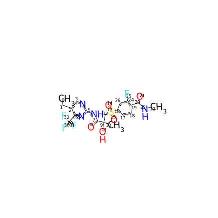 CCc1cnc(NC(=O)[C@@](C)(O)CS(=O)(=O)c2ccc(C(=O)NC)c(F)c2)nc1C(F)(F)F